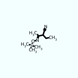 CCC(C#N)C(C)=NO[Si](C)(C)C